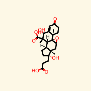 CC1(C(=O)O)C(O)C2=CC(=O)CC[C@]2(C)[C@@]23OC2C[C@@]2(C)[C@@H](CC[C@]2(O)CCC(=O)O)[C@H]13